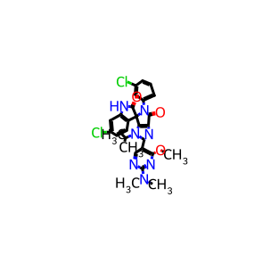 COc1nc(N(C)C)ncc1-c1nc2c(n1C(C)C)C1(C(=O)Nc3cc(Cl)ccc31)N(c1cccc(Cl)c1)C2=O